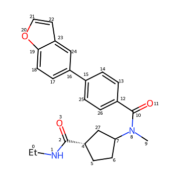 CCNC(=O)[C@H]1CCC(N(C)C(=O)c2ccc(-c3ccc4occc4c3)cc2)C1